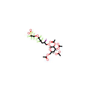 CC(=O)OCC1O[C@@H](OCC(I)CC(F)(F)C(F)(F)OC(F)(F)C(F)(F)S(=O)(=O)F)C(OC(C)=O)[C@@H](OC(C)=O)[C@@H]1OC(C)=O